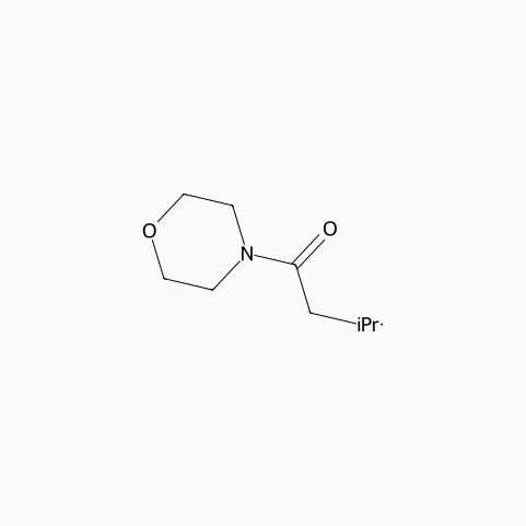 C[C](C)CC(=O)N1CCOCC1